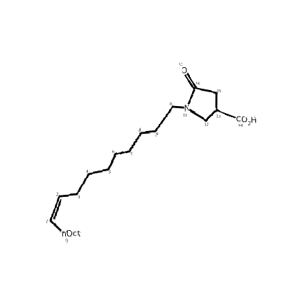 CCCCCCCC/C=C\CCCCCCCCN1CC(C(=O)O)CC1=O